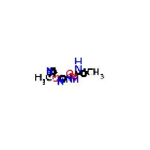 Cc1ccc2c(OC(=O)Nc3ccc(Oc4cccnc4C)nc3)c[nH]c2c1